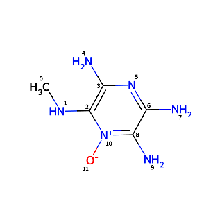 CNc1c(N)nc(N)c(N)[n+]1[O-]